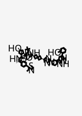 Cc1ncsc1-c1ccc([C@H](C)NC(=O)[C@@H]2C[C@@H](O)CN2C(=O)[C@@H](NC(=O)[C@H]2CC3(C2)C[C@H](c2cnc(N4CCc5[nH]c6nnc(-c7ccccc7O)cc6c5C4)nc2)C3)C(C)(C)C)cc1